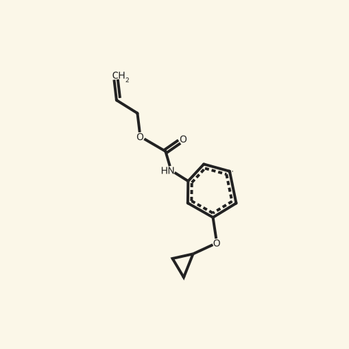 C=CCOC(=O)Nc1c[c]cc(OC2CC2)c1